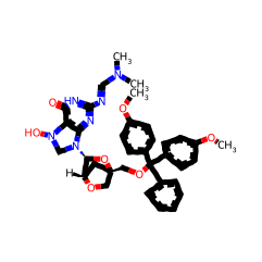 COc1ccc(C(OC[C@@]23CO[C@@H](C2)[C@H](N2CN(O)c4c2nc(N=CN(C)C)[nH]c4=O)O3)(c2ccccc2)c2ccc(OC)cc2)cc1